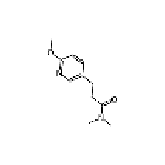 COc1ccc(CCC(=O)N(C)C)cn1